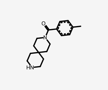 Cc1ccc(C(=O)N2CCC3(CCNCC3)CC2)cc1